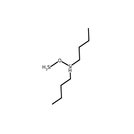 CCCC[SiH](CCCC)O[SiH3]